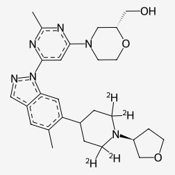 [2H]C1([2H])CC(c2cc3c(cnn3-c3cc(N4CCO[C@@H](CO)C4)nc(C)n3)cc2C)CC([2H])([2H])N1[C@H]1CCOC1